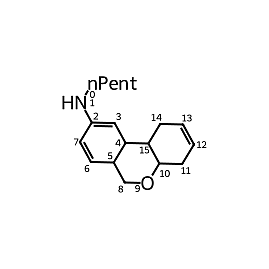 CCCCCNC1=CC2C(C=C1)COC1CC=CCC12